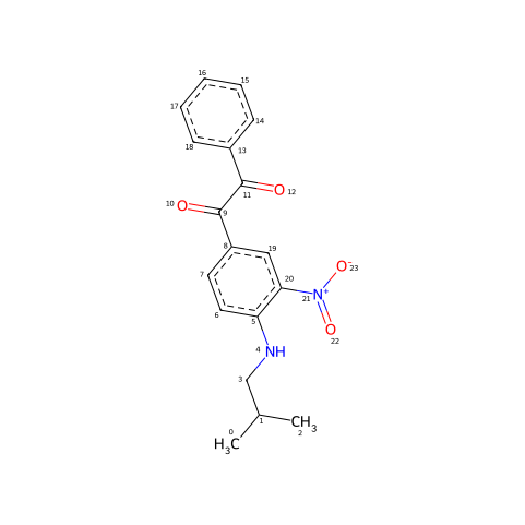 CC(C)CNc1ccc(C(=O)C(=O)c2ccccc2)cc1[N+](=O)[O-]